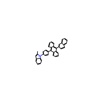 Cc1cc2ccccc2n1-c1ccc(-c2c3ccccc3c(-c3ccc4ccccc4c3)c3ccccc23)cc1